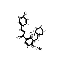 COc1ccc(C(=O)/C=C/c2ccc(Cl)cc2)c(O)c1CN1CCCCC1